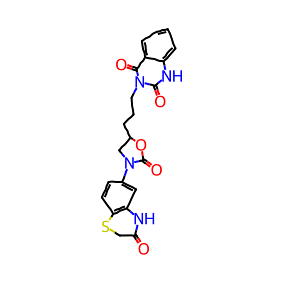 O=C1CSc2ccc(N3CC(CCCn4c(=O)[nH]c5ccccc5c4=O)OC3=O)cc2N1